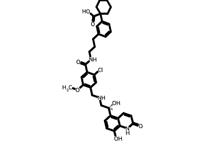 COc1cc(C(=O)NCCCc2cccc(C3(C(=O)O)CCCCC3)c2)c(Cl)cc1CNC[C@H](O)c1ccc(O)c2[nH]c(=O)ccc12